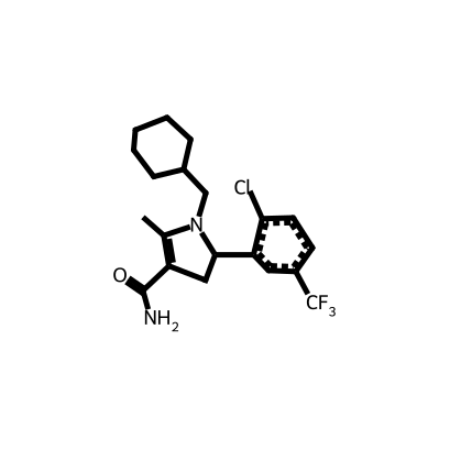 CC1=C(C(N)=O)CC(c2cc(C(F)(F)F)ccc2Cl)N1CC1CCCCC1